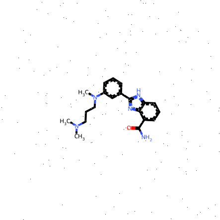 CN(C)CCCN(C)c1cccc(-c2nc3c(C(N)=O)cccc3[nH]2)c1